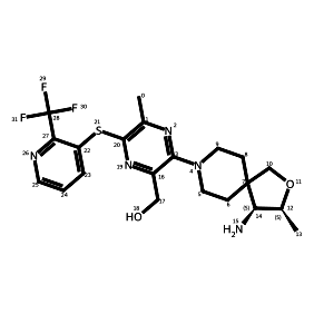 Cc1nc(N2CCC3(CC2)CO[C@@H](C)[C@H]3N)c(CO)nc1Sc1cccnc1C(F)(F)F